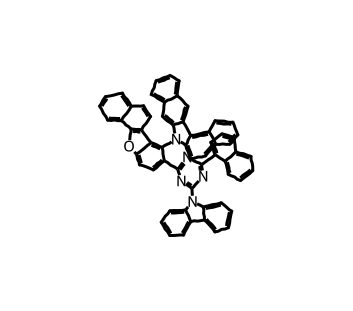 c1ccc2cc3c(cc2c1)c1c2ccccc2ccc1n3-c1c(-c2nc(-c3cccc4ccccc34)nc(-n3c4ccccc4c4ccccc43)n2)ccc2oc3c4ccccc4ccc3c12